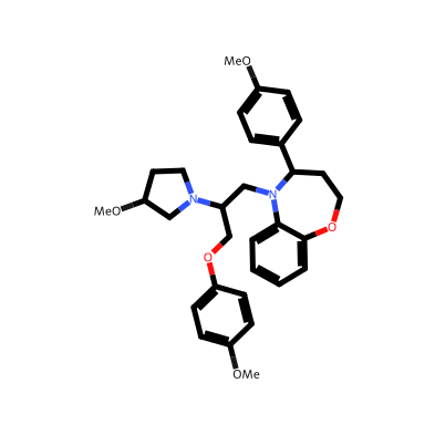 COc1ccc(OCC(CN2c3ccccc3OCCC2c2ccc(OC)cc2)N2CCC(OC)C2)cc1